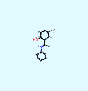 C/C(=N\c1ccccc1)c1cc(Br)ccc1O